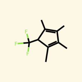 CC1=C(C)C(C(F)(F)F)C(C)=C1C